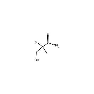 CCC(C)(CO)C(N)=O